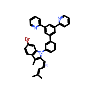 CC(C)=C/C=C\c1c(C)c2ccc(Br)cc2n1-c1cccc(-c2cc(-c3ccccn3)cc(-c3ccccn3)c2)c1